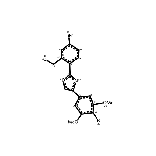 COc1cc(-c2coc(-c3ccc(C(C)C)cc3C[O])n2)cc(OC)c1Br